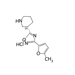 Cc1ccc(-c2noc([C@H]3CCCNC3)n2)o1.Cl